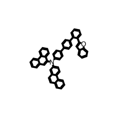 c1ccc(-c2cc3ccccc3o2)c(-c2ccc(-c3ccc(N(c4ccc5c(ccc6ccccc65)c4)c4cc5ccccc5c5ccccc45)cc3)cc2)c1